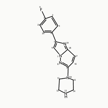 Fc1ccc(-c2cn3nc(N4CCNCC4)ccc3n2)cc1